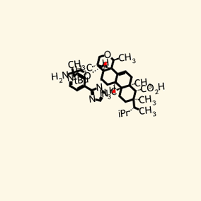 CC(C)[C@@H](C)[C@@]1(C)CC[C@]2(C)[C@H]3CC[C@H]4[C@@]5(C)CO[C@@H](C)[C@@]4(C[C@@H](n4ncnc4-c4ccncc4)[C@@H]5OCC(C)(N)C(C)(C)C)C3=CC[C@@]2(C)[C@@H]1C(=O)O